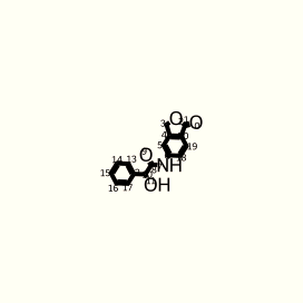 O=C1OCc2cc(NC(=O)C(O)c3ccccc3)ccc21